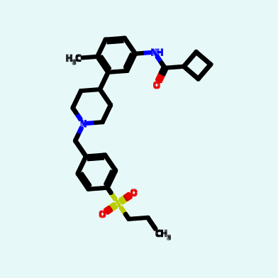 CCCS(=O)(=O)c1ccc(CN2CCC(c3cc(NC(=O)C4CCC4)ccc3C)CC2)cc1